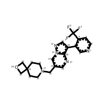 FC(F)(F)c1ccncc1-c1cnn2cc(CN3CCC4(CC3)COC4)cnc12